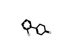 O=C1CC=C(c2ccccc2Cl)CC1